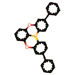 S=P12c3ccc(-c4ccccc4)cc3Oc3cccc(c31)Oc1cc(-c3ccccc3)ccc12